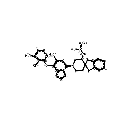 Cc1cc(N2CCC3(Cc4ccccc4C3)C(N[S+]([O-])C(C)(C)C)C2)n2ccnc2c1Sc1ccnc(N)c1Cl